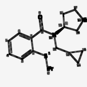 CC(C)Sc1ccccc1C(=O)N(CC1CC1)[C@H]1CCNC1